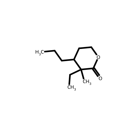 CCCC1CCOC(=O)C1(C)CC